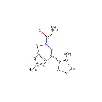 C=CC(=O)N1C/C(=C2/CCSC2C#N)c2cc(C)sc2C1